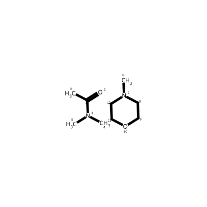 CC(=O)N(C)C.CN1CCOCC1